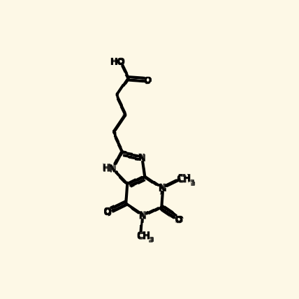 Cn1c(=O)c2[nH]c(CCCC(=O)O)nc2n(C)c1=O